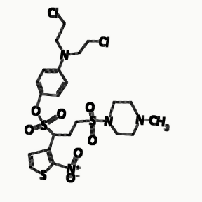 CN1CCN(S(=O)(=O)CCC(c2ccsc2[N+](=O)[O-])S(=O)(=O)Oc2ccc(N(CCCl)CCCl)cc2)CC1